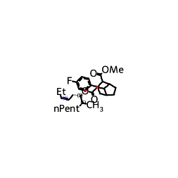 CC/C=C\C[C@H](OC(=O)CC1C2CCC1C(C(=O)OC)C(c1ccc(F)cc1)C2)[C@@H](C)CCCCC